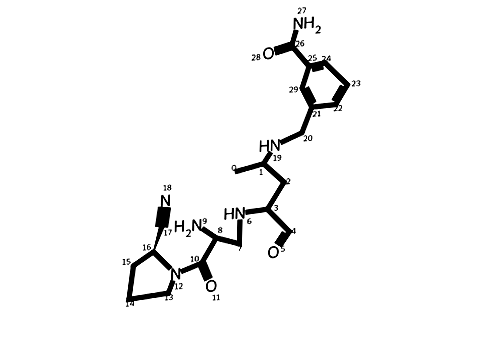 CC(CC(C=O)NCC(N)C(=O)N1CCC[C@H]1C#N)NCc1cccc(C(N)=O)c1